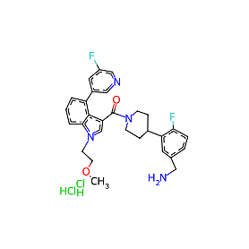 COCCn1cc(C(=O)N2CCC(c3cc(CN)ccc3F)CC2)c2c(-c3cncc(F)c3)cccc21.Cl.Cl